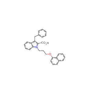 O=C(O)c1c(Cc2ccccc2)c2ccccc2n1CCCOc1cccc2ccccc12